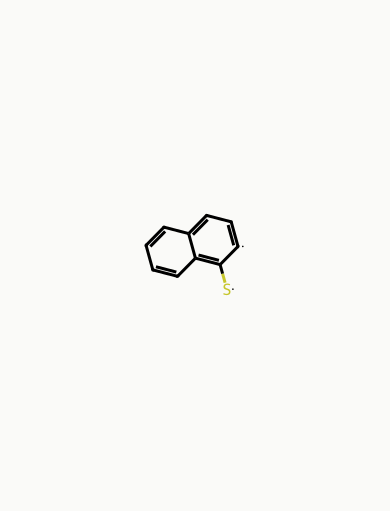 [S]c1[c]ccc2ccccc12